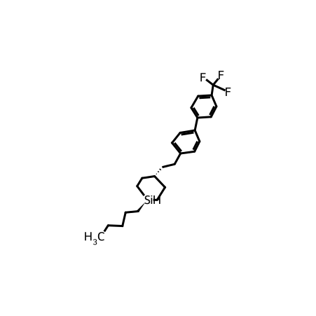 CCCCC[Si@H]1CC[C@H](CCc2ccc(-c3ccc(C(F)(F)F)cc3)cc2)CC1